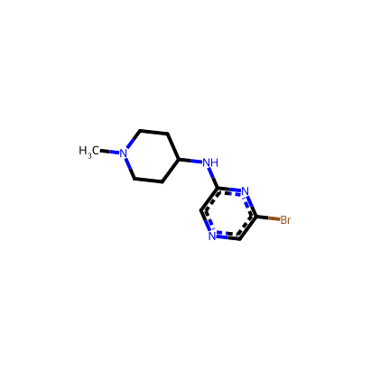 CN1CCC(Nc2cncc(Br)n2)CC1